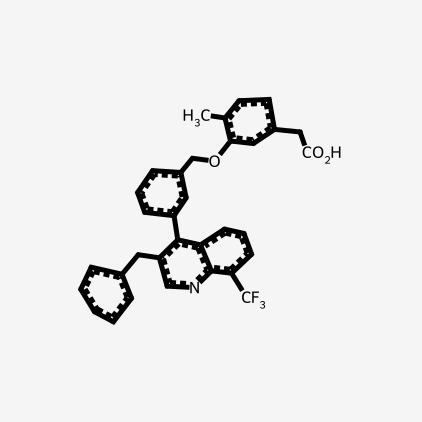 Cc1ccc(CC(=O)O)cc1OCc1cccc(-c2c(Cc3ccccc3)cnc3c(C(F)(F)F)cccc23)c1